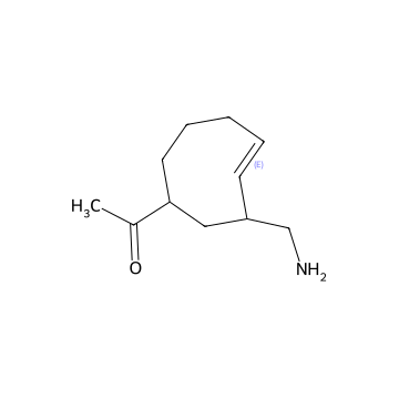 CC(=O)C1CCC/C=C/C(CN)C1